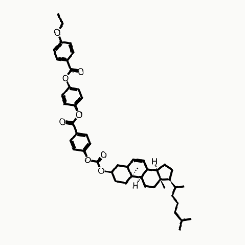 CCOc1ccc(C(=O)Oc2ccc(OC(=O)c3ccc(OC(=O)OC4CC[C@@]5(C)C(C=CC6[C@H]7CC[C@@H](C(C)CCCC(C)C)[C@]7(C)CC[C@H]65)C4)cc3)cc2)cc1